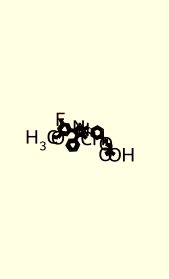 COc1cc(F)cc(-c2nn(C[C@H]3CC[C@@H](COCC(=O)O)CC3)c(C)c2-c2ccccc2)c1